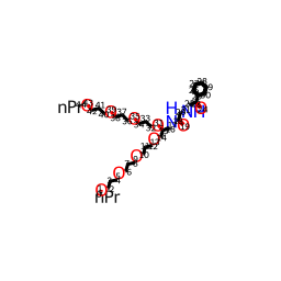 CCCOCCCOCCCOCCCOCC(CNC(=O)CNCC(=O)c1ccccc1)OCCCOCCCOCCCOCCC